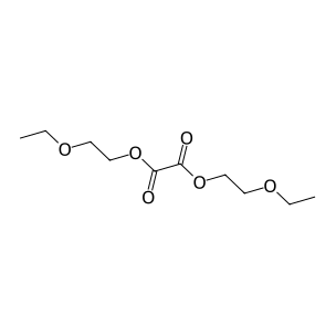 CCOCCOC(=O)C(=O)OCCOCC